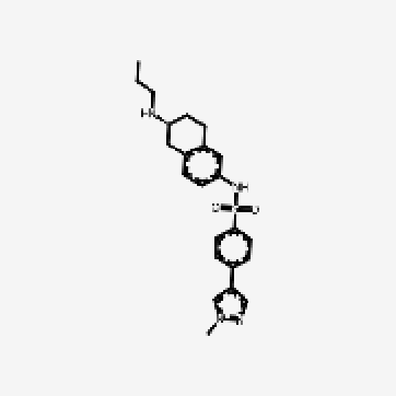 CCCN[C@H]1CCc2cc(NS(=O)(=O)c3ccc(-c4cnn(C)c4)cc3)ccc2C1